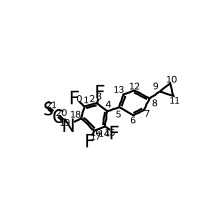 Fc1c(F)c(-c2ccc(C3CC3)cc2)c(F)c(F)c1N=C=S